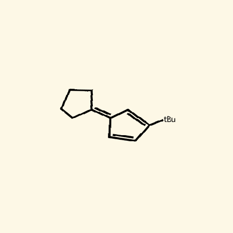 CC(C)(C)C1=CC(=C2CCCC2)C=C1